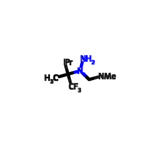 CNCN(N)C(C)(C(C)C)C(F)(F)F